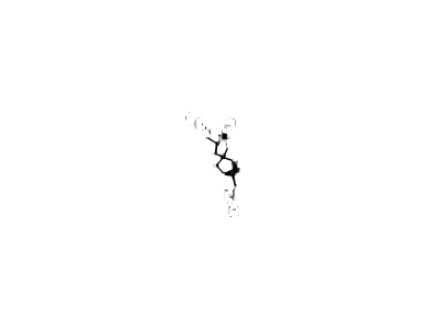 O=C=NCCCC1(CN=C=O)CC2CC1CC2CN=C=O